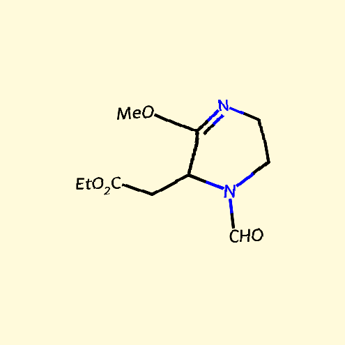 CCOC(=O)CC1C(OC)=NCCN1C=O